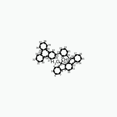 CC1(C)c2ccccc2-c2ccc3c4ccccc4n(-c4cccc(-c5ccc6c7ccccc7c7ccccc7c6c5)c4)c3c21